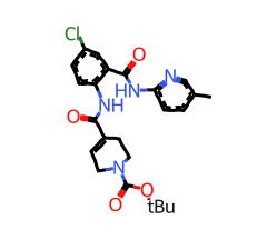 Cc1ccc(NC(=O)c2cc(Cl)ccc2NC(=O)C2=CCN(C(=O)OC(C)(C)C)CC2)nc1